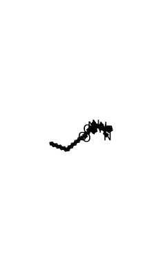 CCCCCCCC/C=C\CCCCCCCCOC(=O)CCC(=O)n1ccc2c(-c3cnn([C@H](CC#N)C4CCCC4)c3)ncnc21